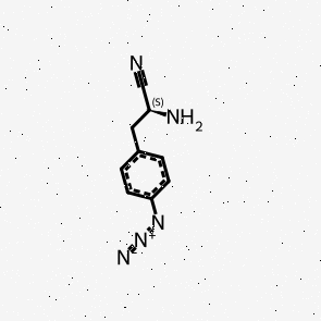 N#C[C@@H](N)Cc1ccc(N=[N+]=[N-])cc1